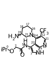 CC(C)OCC(=O)Nc1c[nH]c2ncc(C(F)(F)F)c(N3CCCC(N)C3)c12